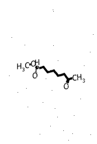 CO[PH](=O)CCCCCC(C)=O